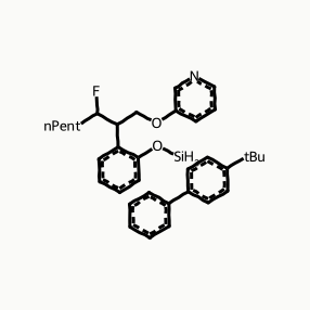 CC(C)(C)c1ccc(-c2ccccc2)cc1.CCCCCC(F)C(COc1cccnc1)c1ccccc1O[SiH3]